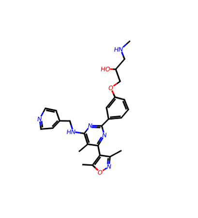 CNCC(O)COc1cccc(-c2nc(NCc3ccncc3)c(C)c(-c3c(C)noc3C)n2)c1